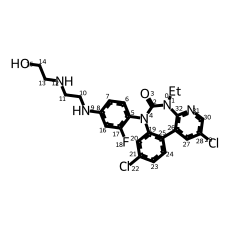 CCN1C(=O)N(c2ccc(NCCNCCO)cc2F)c2cc(Cl)ccc2-c2cc(Cl)cnc21